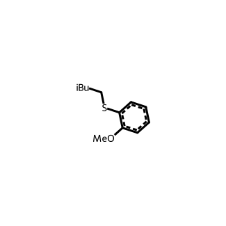 CCC(C)CSc1ccccc1OC